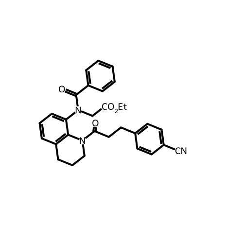 CCOC(=O)CN(C(=O)c1ccccc1)c1cccc2c1N(C(=O)CCc1ccc(C#N)cc1)CCC2